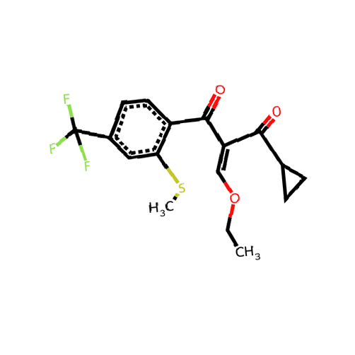 CCOC=C(C(=O)c1ccc(C(F)(F)F)cc1SC)C(=O)C1CC1